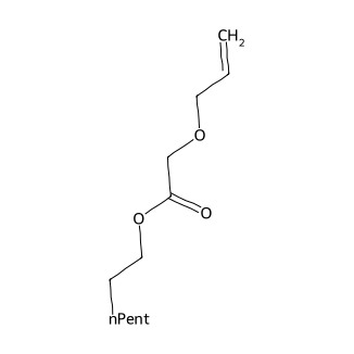 C=CCOCC(=O)OCCCCCCC